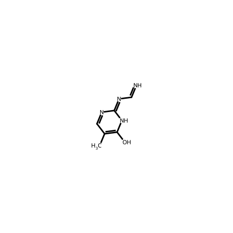 Cc1cn/c(=N/C=N)[nH]c1O